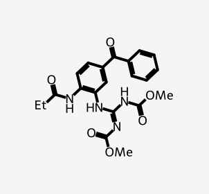 CCC(=O)Nc1ccc(C(=O)c2ccccc2)cc1NC(=NC(=O)OC)NC(=O)OC